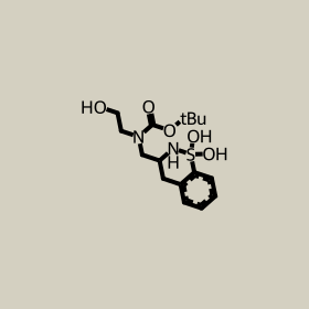 CC(C)(C)OC(=O)N(CCO)CC1Cc2ccccc2S(O)(O)N1